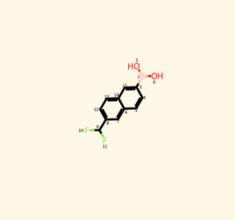 OB(O)c1ccc2cc(C(F)F)ccc2c1